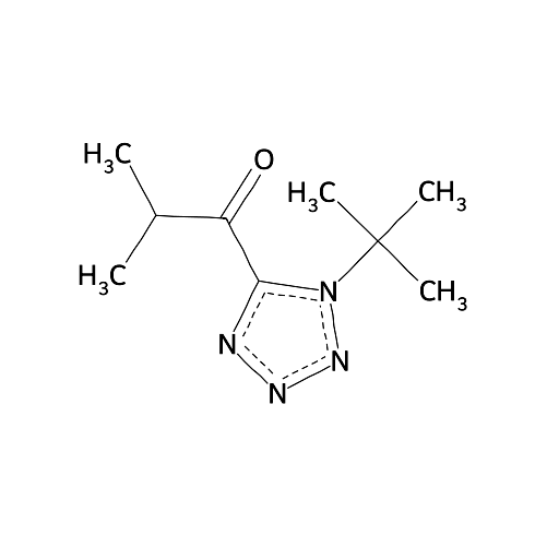 CC(C)C(=O)c1nnnn1C(C)(C)C